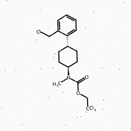 CN(C(=O)OCC(Cl)(Cl)Cl)[C@H]1CC[C@H](c2ccccc2CCl)CC1